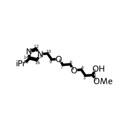 COC(O)CCOCCOCCn1cnc(C(C)C)c1